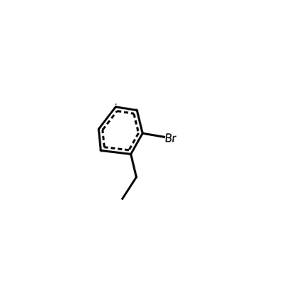 CCc1cc[c]cc1Br